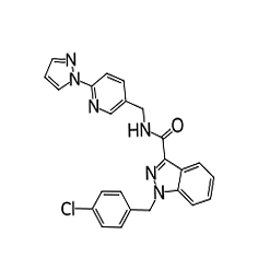 O=C(NCc1ccc(-n2cccn2)nc1)c1nn(Cc2ccc(Cl)cc2)c2ccccc12